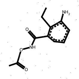 CCc1c(N)cccc1C(=O)NOC(C)=O